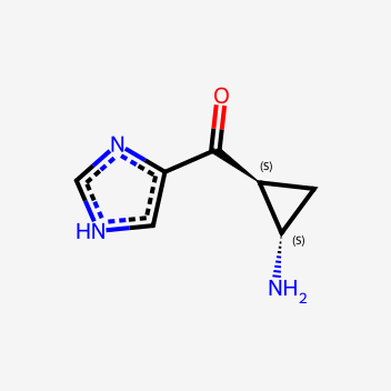 N[C@H]1C[C@@H]1C(=O)c1c[nH]cn1